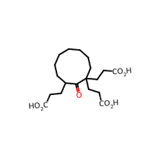 O=C(O)CCC1CCCCCCCC(CCC(=O)O)(CCC(=O)O)C1=O